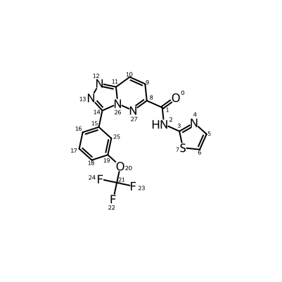 O=C(Nc1nccs1)c1ccc2nnc(-c3cccc(OC(F)(F)F)c3)n2n1